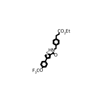 CCOC(=O)CCc1ccc(CNC(=O)c2cc(-c3ccc(OC(F)(F)F)cc3)cs2)cc1